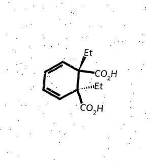 CC[C@]1(C(=O)O)C=CC=C[C@]1(CC)C(=O)O